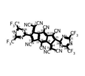 N#CC(C#N)=C1C(c2nc(C(F)(F)F)nc(C(F)(F)F)n2)=C(C#N)c2c(C#N)c3c(c(C#N)c21)C(C#N)=C(c1nc(C(F)(F)F)nc(C(F)(F)F)n1)C3=C(C#N)C#N